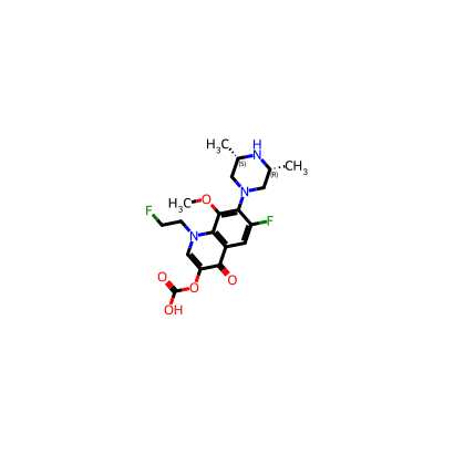 COc1c(N2C[C@@H](C)N[C@@H](C)C2)c(F)cc2c(=O)c(OC(=O)O)cn(CCF)c12